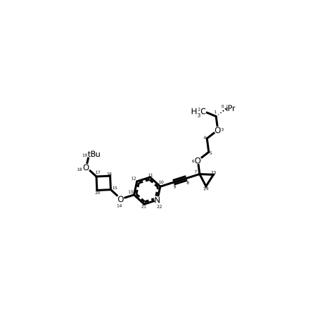 CC(C)[C@@H](C)OCCOC1(C#Cc2ccc(OC3CC(OC(C)(C)C)C3)cn2)CC1